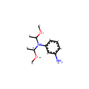 COC(C)N(c1cccc(N)c1)C(C)OC